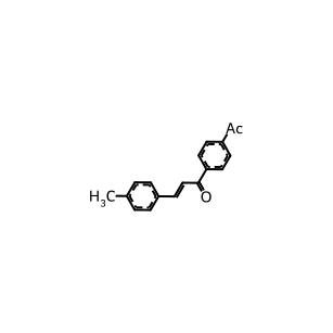 CC(=O)c1ccc(C(=O)C=Cc2ccc(C)cc2)cc1